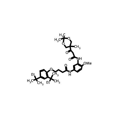 CCC(C)(C)c1ccc(OCCCC(=O)Nc2ccc(OC)c(NC(=O)CC(=O)C3(C)COC(C)(C)OC3)c2)c(C(C)(C)CC)c1